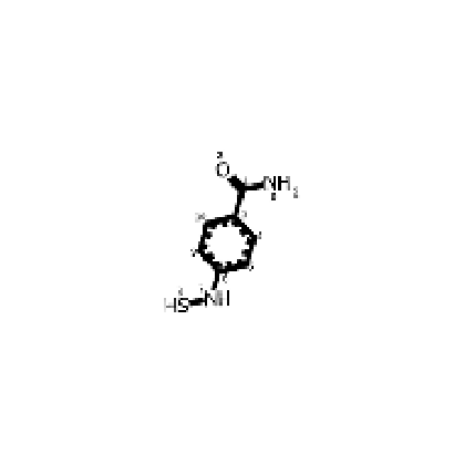 NC(=O)c1ccc(NS)cc1